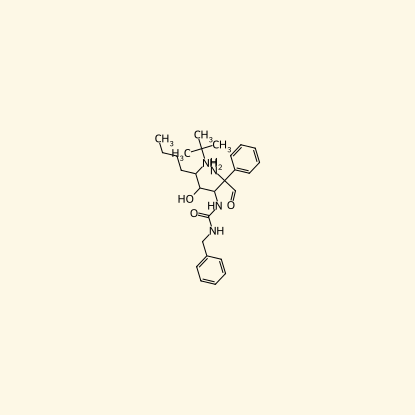 CCCCC(NC(C)(C)C)C(O)C(NC(=O)NCc1ccccc1)C(N)(C=O)c1ccccc1